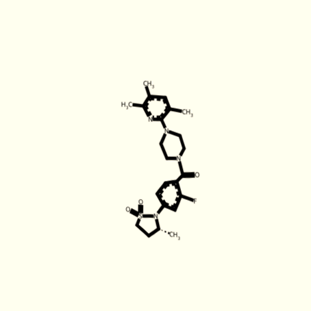 Cc1cc(C)c(N2CCN(C(=O)c3ccc(N4[C@H](C)CCS4(=O)=O)cc3F)CC2)nc1C